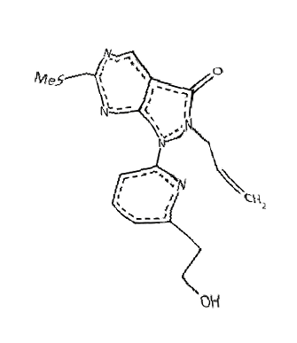 C=CCn1c(=O)c2cnc(SC)nc2n1-c1cccc(CCO)n1